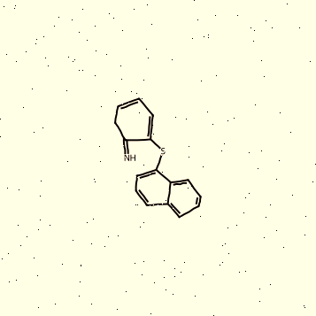 N=C1CC=CC=C1Sc1cccc2ccccc12